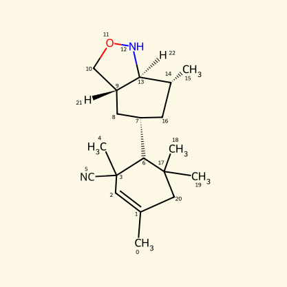 CC1=CC(C)(C#N)C([C@@H]2C[C@@H]3CON[C@H]3[C@H](C)C2)C(C)(C)C1